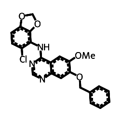 COc1cc2c(Nc3c(Cl)ccc4c3OCO4)ncnc2cc1OCc1ccccc1